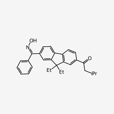 CCC1(CC)c2cc(C(=O)CC(C)C)ccc2-c2ccc(/C(=N\O)c3ccccc3)cc21